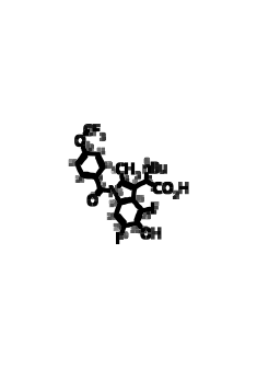 CCCCC(C(=O)O)c1c(C)n(C(=O)c2ccc(OC(F)(F)F)cc2)c2cc(F)c(O)c(F)c12